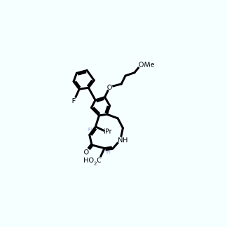 COCCCOc1cc2c(cc1-c1ccccc1F)/C(C(C)C)=C/C(=O)/C(C(=O)O)=C\NCC2